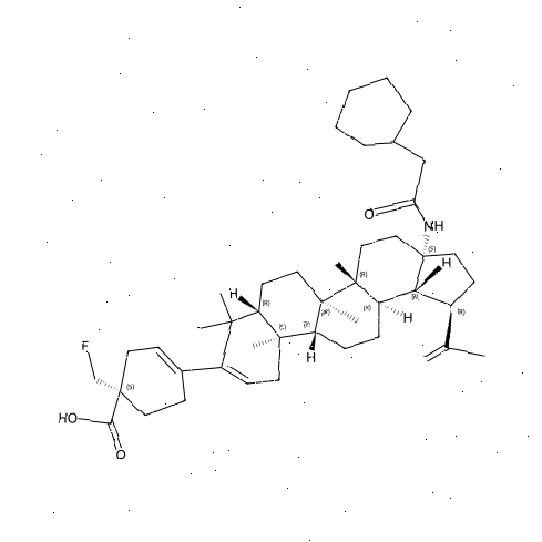 C=C(C)[C@@H]1CC[C@]2(NC(=O)CC3CCCCC3)CC[C@]3(C)[C@H](CC[C@@H]4[C@@]5(C)CC=C(C6=CC[C@](CF)(C(=O)O)CC6)C(C)(C)[C@@H]5CC[C@]43C)[C@@H]12